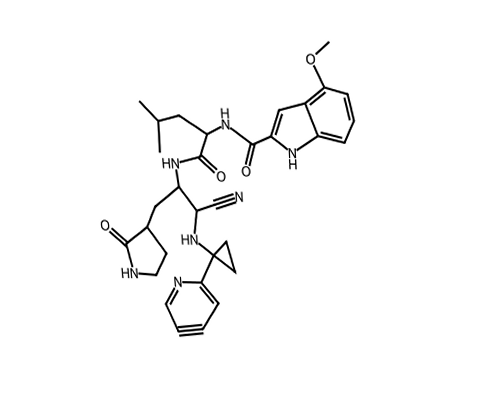 COc1cccc2[nH]c(C(=O)NC(CC(C)C)C(=O)NC(CC3CCNC3=O)C(C#N)NC3(c4cc#ccn4)CC3)cc12